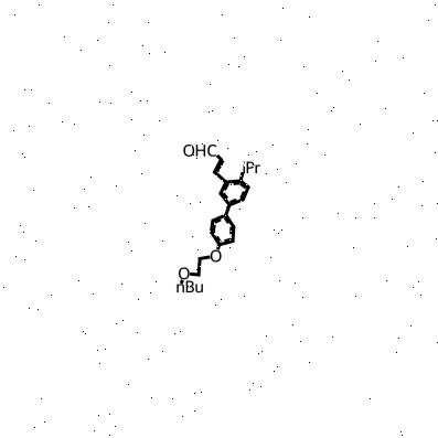 CCCCOCCOc1ccc(-c2ccc(C(C)C)c(/C=C/C=O)c2)cc1